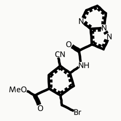 COC(=O)c1cc(C#N)c(NC(=O)c2cnn3cccnc23)cc1CBr